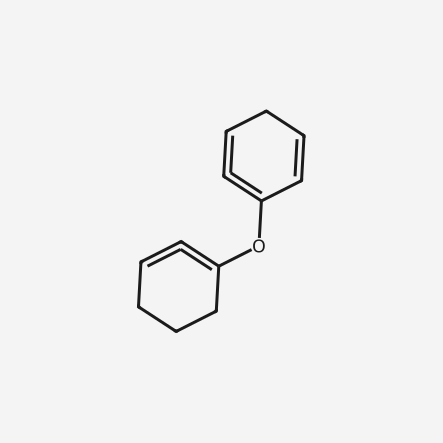 C1=CCC=CC=1OC1=C=CCCC1